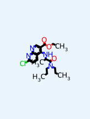 CCCN(CCC)C(=O)C(C)Nc1c(C(=O)OCC)cnc2nc(Cl)ccc12